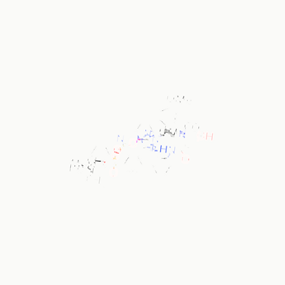 COc1ccc(CN(Cc2ccc(OC)cc2)S(=O)(=O)c2c(S(=O)(=O)CC[Si](C)(C)C)ccc(-c3cccc(NC(=O)[C@@H](CO)N(C(=O)O)C(C)(C)C)c3N)c2-c2nnn(Cc3ccc(OC)cc3)n2)cc1